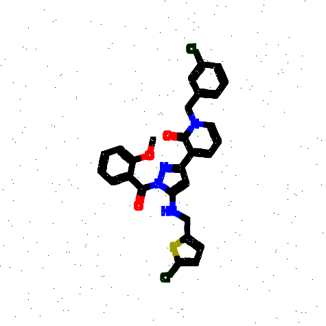 COc1ccccc1C(=O)n1nc(-c2cccn(Cc3cccc(Cl)c3)c2=O)cc1NCc1ccc(Cl)s1